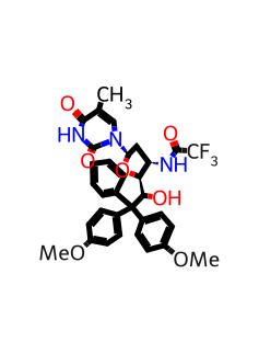 COc1ccc(C(c2ccccc2)(c2ccc(OC)cc2)C(O)[C@H]2O[C@@H](n3cc(C)c(=O)[nH]c3=O)C[C@@H]2NC(=O)C(F)(F)F)cc1